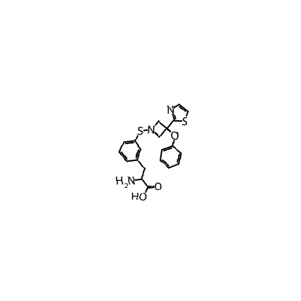 NC(Cc1cccc(SN2CC(Oc3ccccc3)(c3nccs3)C2)c1)C(=O)O